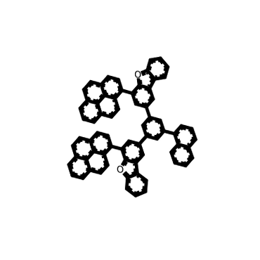 c1ccc2c(-c3cc(-c4cc(-c5ccc6ccc7cccc8ccc5c6c78)c5oc6ccccc6c5c4)cc(-c4cc(-c5ccc6ccc7cccc8ccc5c6c78)c5oc6ccccc6c5c4)c3)cccc2c1